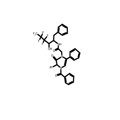 CC(C)C1C(=O)N(CC(=O)NC(Cc2ccccc2)C(O)C(F)(F)C(F)(F)C(F)(F)F)C(c2ccccc2)=CN1C(=O)c1ccccc1